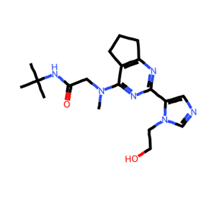 CN(CC(=O)NC(C)(C)C)c1nc(-c2cncn2CCO)nc2c1CCC2